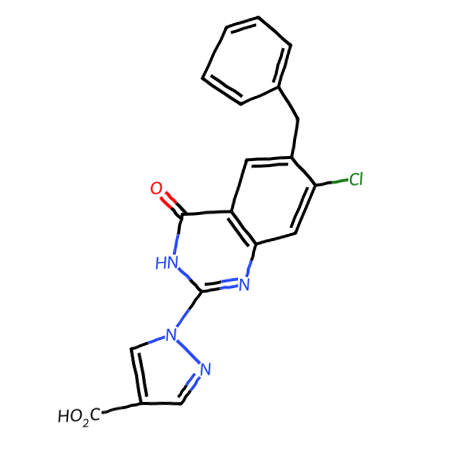 O=C(O)c1cnn(-c2nc3cc(Cl)c(Cc4ccccc4)cc3c(=O)[nH]2)c1